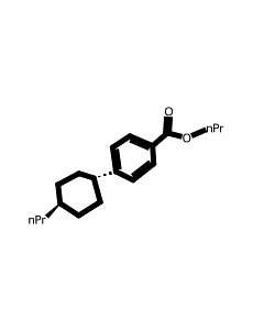 CCCOC(=O)c1ccc([C@H]2CC[C@H](CCC)CC2)cc1